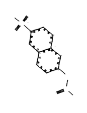 O=S(O)Oc1ccc2cc(S(=O)(=O)O)ccc2c1